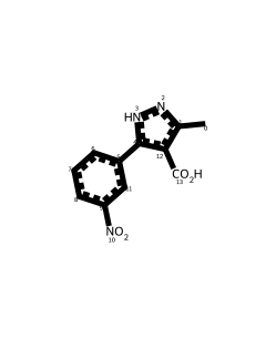 Cc1n[nH]c(-c2cccc([N+](=O)[O-])c2)c1C(=O)O